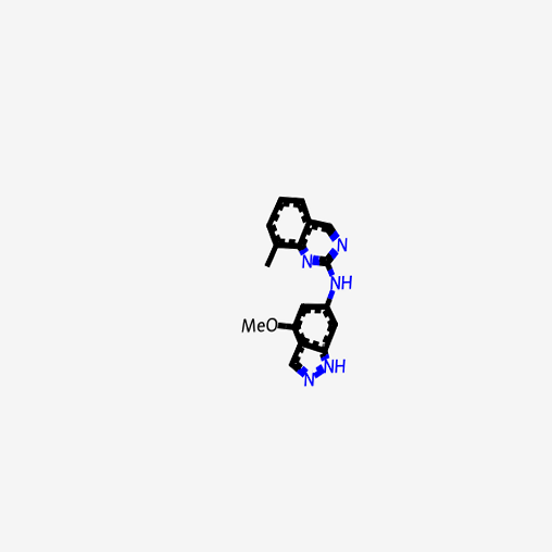 COc1cc(Nc2ncc3cccc(C)c3n2)cc2[nH]ncc12